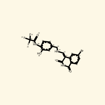 O=C1NC(=O)c2ccc(Br)cc2C1=CNCc1ccc(NC(=O)C(F)(F)F)c(O)c1